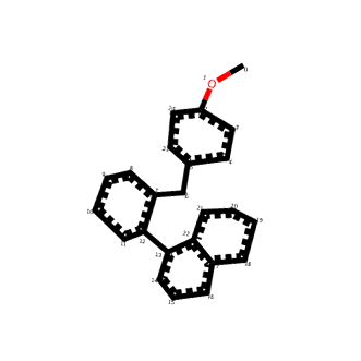 COc1ccc([CH]c2ccccc2-c2cccc3ccccc23)cc1